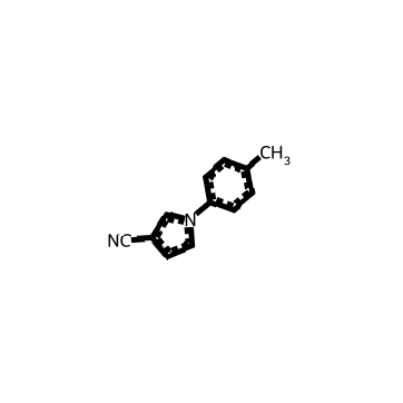 Cc1ccc(-n2ccc(C#N)c2)cc1